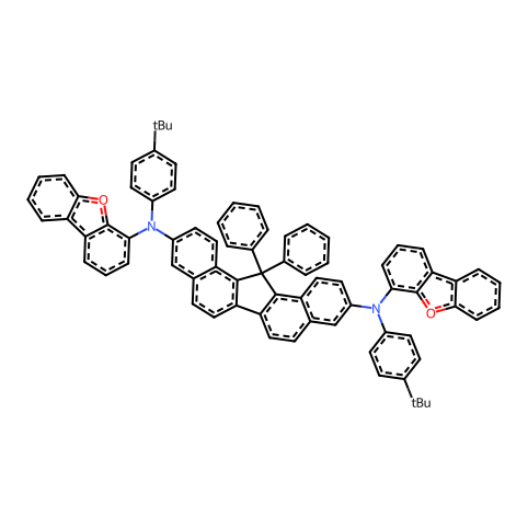 CC(C)(C)c1ccc(N(c2ccc3c4c(ccc3c2)-c2ccc3cc(N(c5ccc(C(C)(C)C)cc5)c5cccc6c5oc5ccccc56)ccc3c2C4(c2ccccc2)c2ccccc2)c2cccc3c2oc2ccccc23)cc1